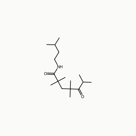 CC(C)CCNC(=O)C(C)(C)CC(C)(C)C(=O)C(C)C